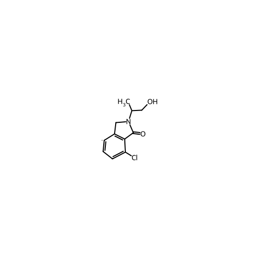 CC(CO)N1Cc2[c]ccc(Cl)c2C1=O